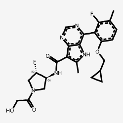 Cc1ccc(OCC2CC2)c(-c2ncnc3c(C(=O)N[C@H]4CN(C(=O)CO)C[C@@H]4F)c(C)[nH]c23)c1F